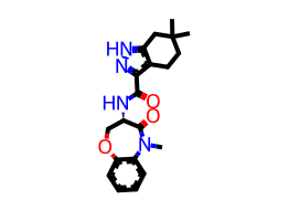 CN1C(=O)[C@@H](NC(=O)c2n[nH]c3c2CCC(C)(C)C3)COc2ccccc21